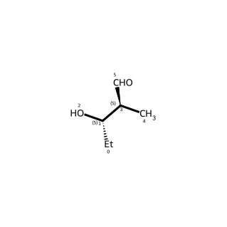 CC[C@H](O)[C@H](C)C=O